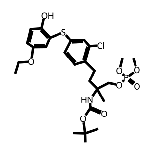 CCOc1ccc(O)c(Sc2ccc(CCC(C)(COP(=O)(OC)OC)NC(=O)OC(C)(C)C)c(Cl)c2)c1